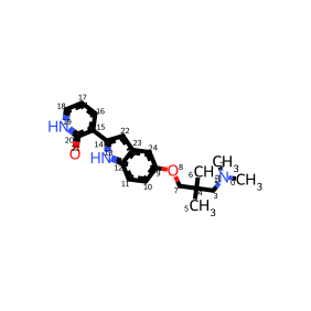 CN(C)CC(C)(C)COc1ccc2[nH]c(-c3c[c]c[nH]c3=O)cc2c1